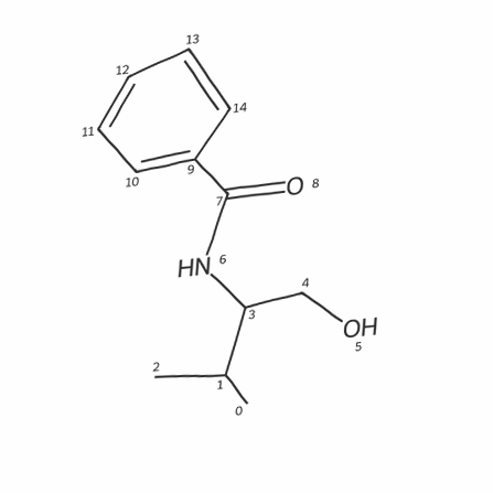 CC(C)C(CO)NC(=O)c1ccccc1